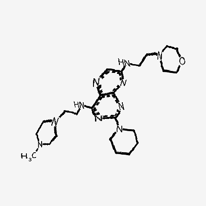 CN1CCN(CCNc2nc(N3CCCCC3)nc3nc(NCCN4CCOCC4)cnc23)CC1